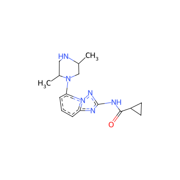 CC1CN(c2cccc3nc(NC(=O)C4CC4)nn23)C(C)CN1